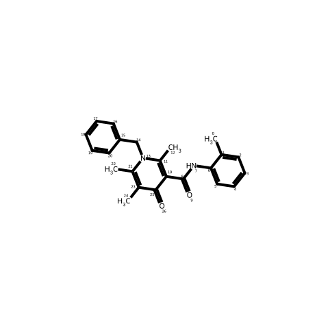 Cc1ccccc1NC(=O)c1c(C)n(Cc2ccccc2)c(C)c(C)c1=O